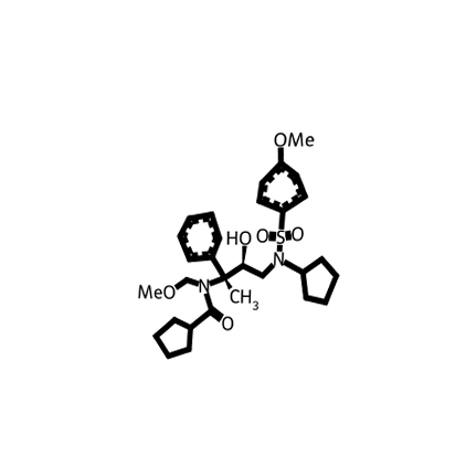 COCN(C(=O)C1CCCC1)[C@](C)(c1ccccc1)[C@@H](O)CN(C1CCCC1)S(=O)(=O)c1ccc(OC)cc1